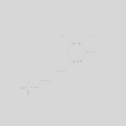 CCCCCCCCCCOc1c(Br)cc(CNCCCP(=O)(O)O)cc1OC